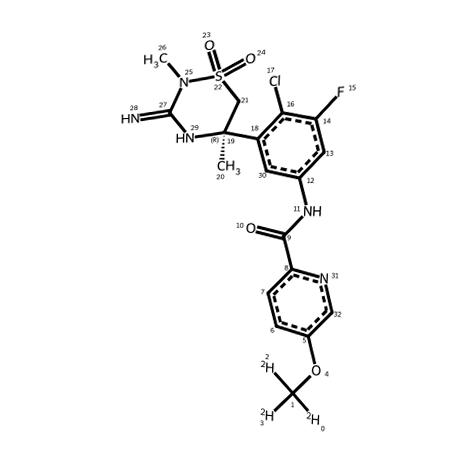 [2H]C([2H])([2H])Oc1ccc(C(=O)Nc2cc(F)c(Cl)c([C@]3(C)CS(=O)(=O)N(C)C(=N)N3)c2)nc1